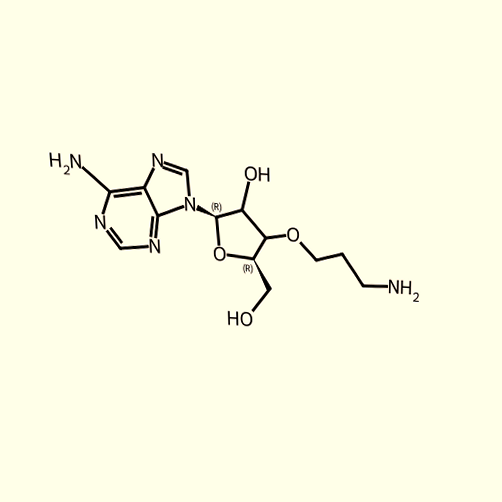 NCCCOC1C(O)[C@H](n2cnc3c(N)ncnc32)O[C@@H]1CO